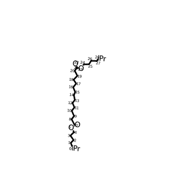 CC(C)CCCCOC(=O)CCCCCCCCCCCCCC(=O)OCCCCC(C)C